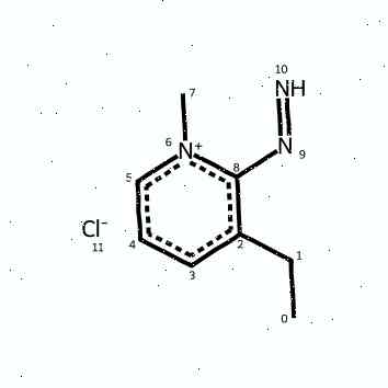 CCc1ccc[n+](C)c1N=N.[Cl-]